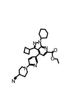 CCOC(=O)c1cc(-c2ccc(N3CCC(C#N)CC3)nc2)c2c(C3CCC3)nn(C3CCCCC3)c2n1